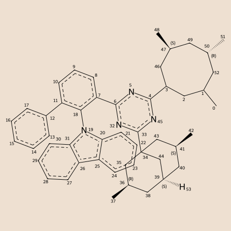 CC1CC(c2nc(-c3cccc(-c4ccccc4)c3-n3c4ccccc4c4ccccc43)nc(C34C[C@H](C)C[C@H](C[C@H](C)C3)C4)n2)C[C@@H](C)C[C@H](C)C1